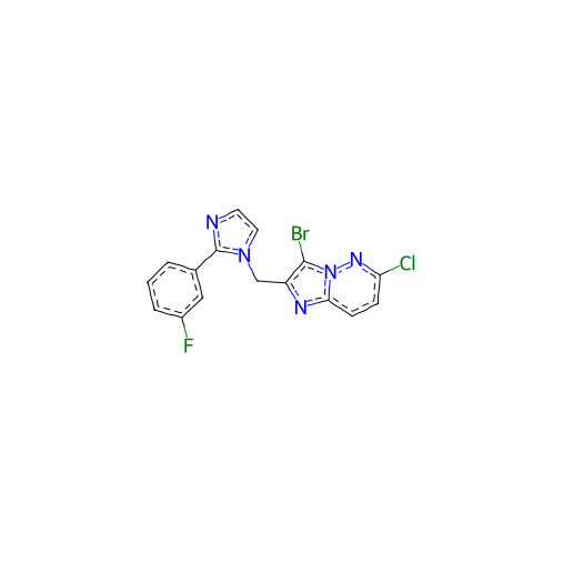 Fc1cccc(-c2nccn2Cc2nc3ccc(Cl)nn3c2Br)c1